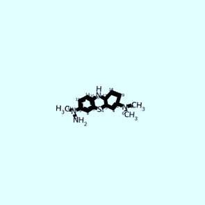 CN(C)C1=CC2Sc3cc(N(C)N)ccc3NC2C=C1